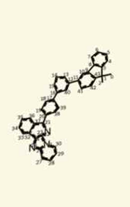 CC1(C)c2ccccc2-c2cc(-c3cccc(-c4ccc(-c5nc6c(nc7ccccn76)c6ccccc56)cc4)c3)ccc21